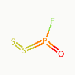 O=P(F)=S=S